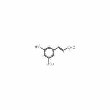 CC(C)(C)c1cc(C=CC=O)cc(C(C)(C)C)c1